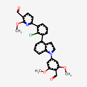 COc1cc(-n2ccc3c(-c4cccc(-c5ccc(C=O)c(OC)n5)c4Cl)cccc32)cc(OC)c1C=O